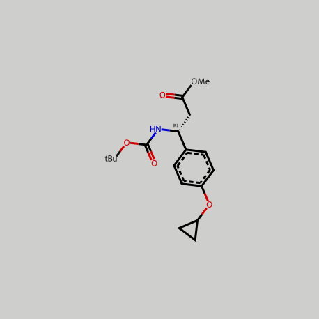 COC(=O)C[C@@H](NC(=O)OC(C)(C)C)c1ccc(OC2CC2)cc1